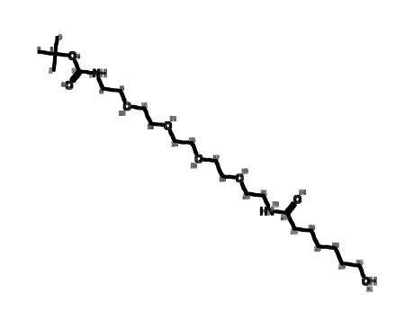 CC(C)(C)OC(=O)NCCOCCOCCOCCOCCNC(=O)CCCCCCO